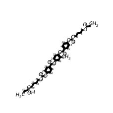 C=CC(=O)OCCCCOC(=O)Oc1ccc(C(=O)Oc2ccc(OC(=O)c3ccc(OC(=O)OCCCCOC(O)C=C)cc3)cc2C)cc1